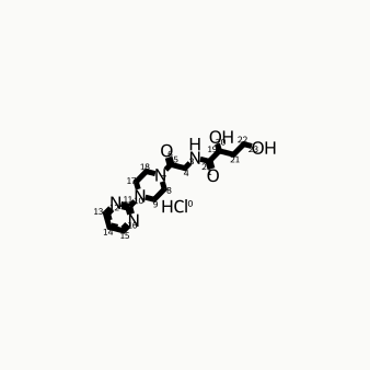 Cl.O=C(NCC(=O)N1CCN(c2ncccn2)CC1)C(O)CCO